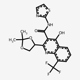 CC1(C)OCC(c2nc3c(C(F)(F)F)cccc3c(O)c2C(=O)Nc2nccs2)O1